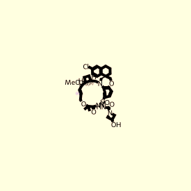 CO[C@H]1/C=C/COC(C)(C)C(=O)N=[S@](=O)(NC(=O)N2CC(O)C2)c2ccc3c(c2)N(C[C@@H]2CC[C@H]21)C[C@@]1(CCCc2cc(Cl)ccc21)CO3